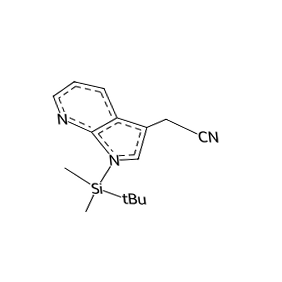 CC(C)(C)[Si](C)(C)n1cc(CC#N)c2cccnc21